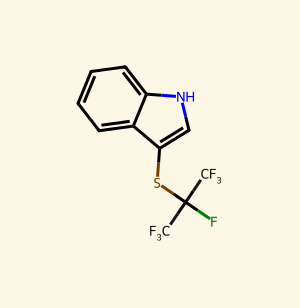 FC(F)(F)C(F)(Sc1c[nH]c2ccccc12)C(F)(F)F